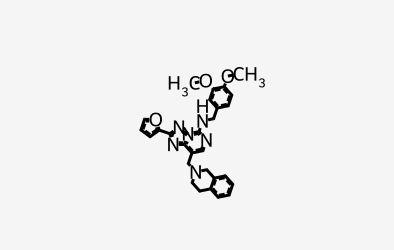 COc1ccc(CNc2ncc(CN3CCc4ccccc4C3)c3nc(-c4ccco4)nn23)cc1OC